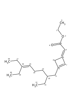 CCOC(=O)/C=C1/C=C(CC(CC)CCC=C(CC)CC)C1